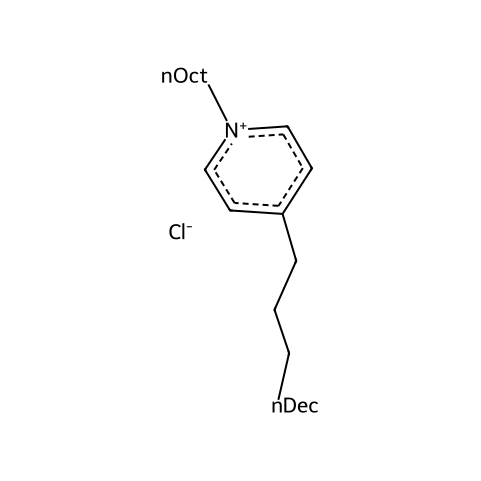 CCCCCCCCCCCCCc1cc[n+](CCCCCCCC)cc1.[Cl-]